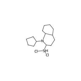 Cl[SiH](Cl)C1CCC2CCCCC2N1C1CCCC1